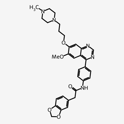 COc1cc2c(-c3ccc(NC(=O)Cc4ccc5c(c4)OCO5)cc3)ncnc2cc1OCCCN1CCN(C)CC1